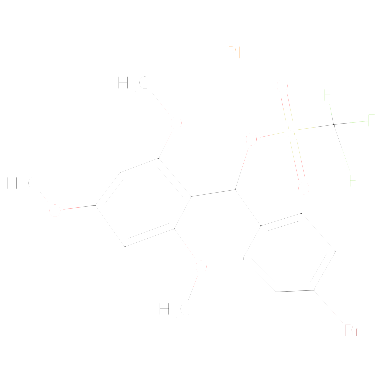 COc1cc(OC)c(C(OS(=O)(=O)C(F)(F)F)c2ccc(Br)cc2)c(OC)c1.P